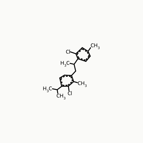 Cc1ccc(C(C)Cc2ccc(C(C)C)c(Cl)c2C)c(Cl)c1